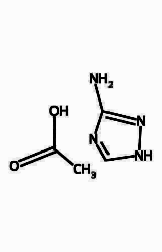 CC(=O)O.Nc1nc[nH]n1